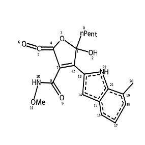 CCCCCC1(O)OC(=C=O)C(C(=O)NOC)=C1c1cc2cccc(C)c2[nH]1